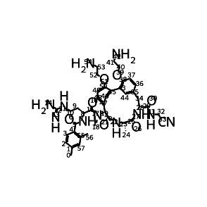 Cc1ccc(C(=O)N[C@@H](CCNC(=N)N)C(=O)N(C)[C@@H]2C(=O)N[C@@H](C)C(=O)N[C@H](C(=O)NCC#N)Cc3ccc(OCCN)c(c3)-c3cc2ccc3OCCN)c(C)c1